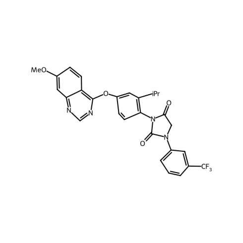 COc1ccc2c(Oc3ccc(N4C(=O)CN(c5cccc(C(F)(F)F)c5)C4=O)c(C(C)C)c3)ncnc2c1